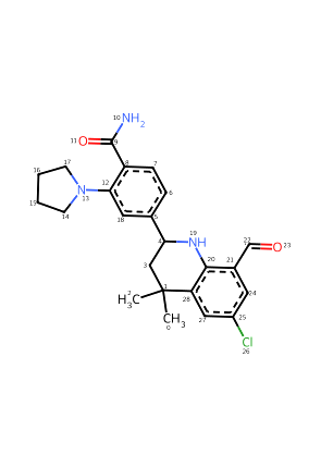 CC1(C)CC(c2ccc(C(N)=O)c(N3CCCC3)c2)Nc2c([C]=O)cc(Cl)cc21